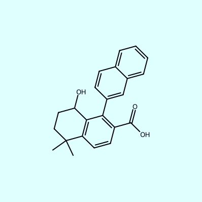 CC1(C)CCC(O)c2c1ccc(C(=O)O)c2-c1ccc2ccccc2c1